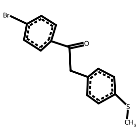 CSc1ccc(CC(=O)c2ccc(Br)cc2)cc1